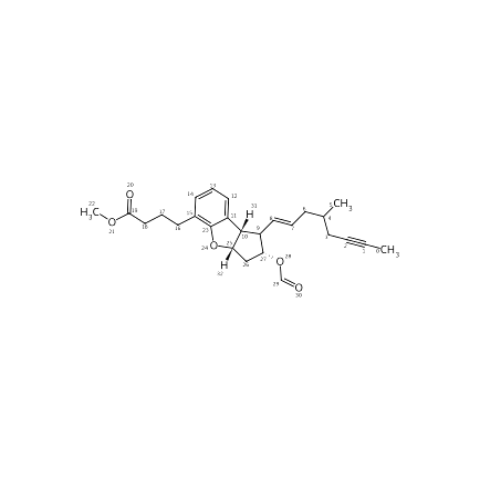 CC#CCC(C)C/C=C/C1[C@H]2c3cccc(CCCC(=O)OC)c3O[C@H]2C[C@H]1OC=O